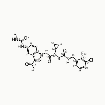 CNC(=O)Nc1ccc2c(c1)c(C(C)=O)nn2CC(=O)N(CC(=O)NCc1cccc(Cl)c1F)C1CC1